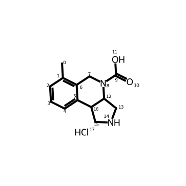 Cc1cccc2c1CN(C(=O)O)C1CNCC21.Cl